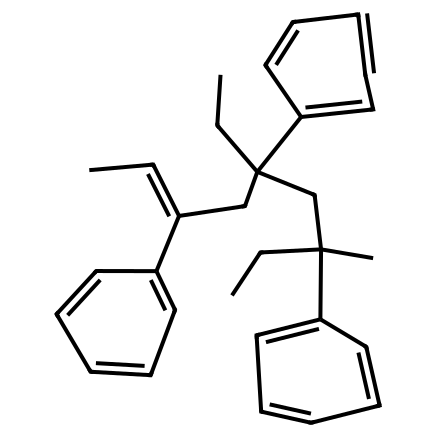 CC=C(CC(CC)(CC(C)(CC)c1ccccc1)c1ccccc1)c1ccccc1